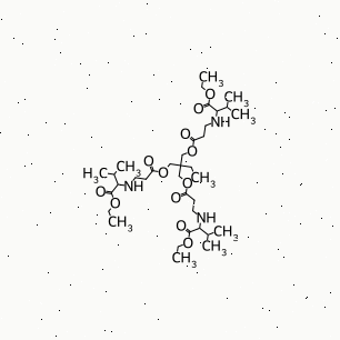 CCOC(=O)C(NCCC(=O)OCC(CC)(COC(=O)CCNC(C(=O)OCC)C(C)C)COC(=O)CCNC(C(=O)OCC)C(C)C)C(C)C